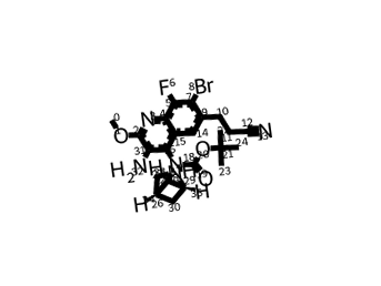 COc1nc2c(F)c(Br)c(CCC#N)cc2c(N(C(=O)OC(C)(C)C)[C@H]2[C@H]3CN[C@@H]2C3)c1N